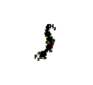 C=CCCc1ccc(-c2cc(F)c(C(F)(F)Oc3ccc(C#Cc4cc(F)c(C(F)(F)F)c(F)c4)c(F)c3)c(F)c2)cc1